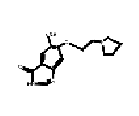 COc1cc2c(=O)[nH]cnc2cc1OCCN1CCCC1